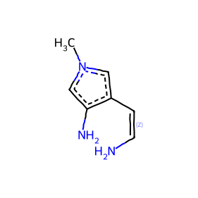 Cn1cc(N)c(/C=C\N)c1